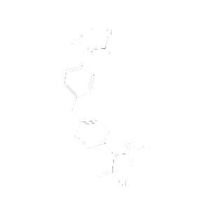 CS(=O)(=O)N(C(N)=O)c1ccc(Cc2ccc(N(C(N)=O)S(C)(=O)=O)cc2)cc1